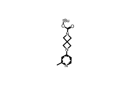 Cc1cc(N2CC3(CN(C(=O)OC(C)(C)C)C3)C2)ccn1